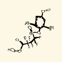 CC(C)c1cc(C=O)cc(C(C)C)c1OS(=O)(=O)C(F)(F)C(F)(F)C(F)(F)C(=O)OO